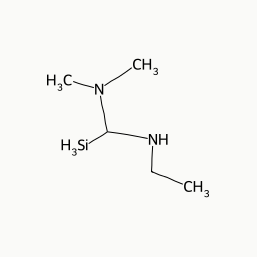 CCNC([SiH3])N(C)C